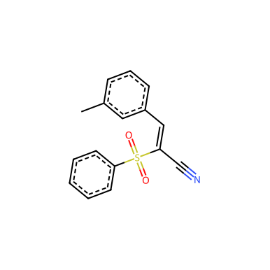 Cc1cccc(C=C(C#N)S(=O)(=O)c2ccccc2)c1